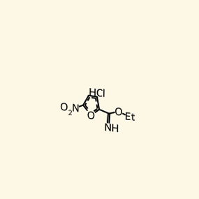 CCOC(=N)c1ccc([N+](=O)[O-])o1.Cl